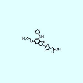 CCOc1cc2c(c(NC3CCCC3)c1)NC(C1=N[C@H](CC(=O)O)CS1)C2